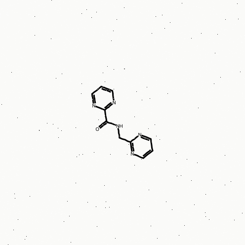 O=C(NCc1ncccn1)c1ncccn1